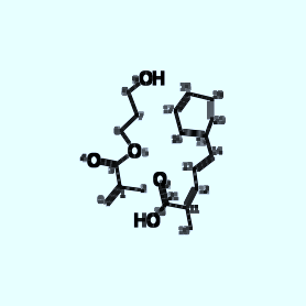 C=C(C)C(=O)OCCCO.CC(=CC=Cc1ccccc1)C(=O)O